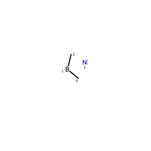 C[B]C.[N]